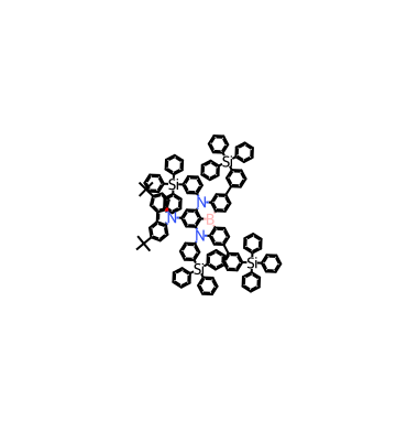 CC(C)(C)c1ccc2c(c1)c1cc(C(C)(C)C)ccc1n2-c1cc2c3c(c1)N(c1cccc([Si](c4ccccc4)(c4ccccc4)c4ccccc4)c1)c1cc(-c4cccc([Si](c5ccccc5)(c5ccccc5)c5ccccc5)c4)ccc1B3c1ccc(-c3cccc([Si](c4ccccc4)(c4ccccc4)c4ccccc4)c3)cc1N2c1cccc([Si](c2ccccc2)(c2ccccc2)c2ccccc2)c1